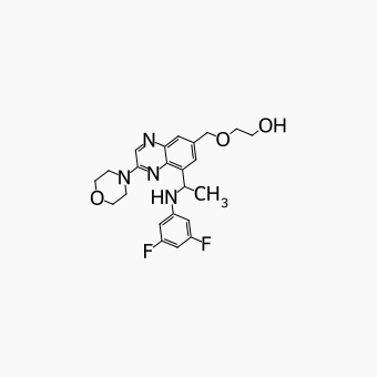 CC(Nc1cc(F)cc(F)c1)c1cc(COCCO)cc2ncc(N3CCOCC3)nc12